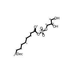 CCCCCCCCCCCCCCCCCC(=O)OS(=O)(=O)OCC(O)CO